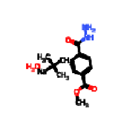 COC(=O)c1ccc(C(=O)NN)cc1.C[C](C)(C)[Na].O